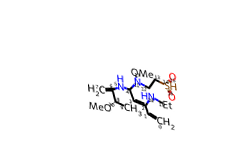 C=C/C(=C/C(NC(=C)[C@H](C)OC)N(CC[SH](=O)=O)OC)NCC